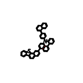 c1ccc(-c2ccccc2N(c2ccc(-c3ccc4ccc5c6ccccc6sc5c4c3)cc2)c2ccc(-c3cccc4ccccc34)cc2)cc1